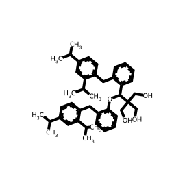 CC(C)c1ccc(Cc2ccccc2OC(c2ccccc2Cc2ccc(C(C)C)cc2C(C)C)C(CO)(CO)CO)c(C(C)C)c1